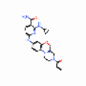 C=CC(=O)N1CC[N+]2=C(COc3cc(NC(=C)/N=C(NC4CC4)\C(=C/C)C(N)=O)ccc32)C1